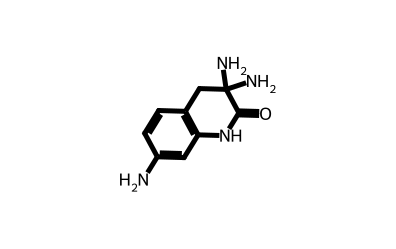 Nc1ccc2c(c1)NC(=O)C(N)(N)C2